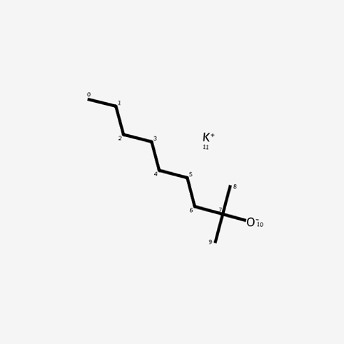 CCCCCCCC(C)(C)[O-].[K+]